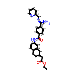 CCOC(=O)CC1CCc2ccc(NC(=O)c3ccc(C(N)=NCc4ccccn4)cc3)cc2C1